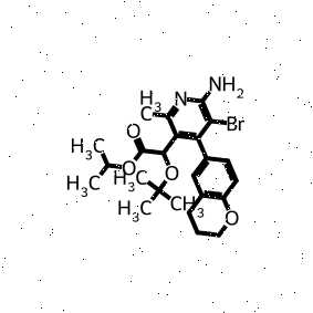 Cc1nc(N)c(Br)c(-c2ccc3c(c2)CCCO3)c1C(OC(C)(C)C)C(=O)OC(C)C